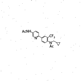 CC(=O)Nc1ccc(-c2ccc(N(CC3CC3)C(C)=O)c(C(F)(F)F)c2)nc1